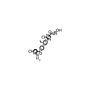 CC[C@H]1CN(c2ncc(C(=O)NCCO)nc2Cl)CCN1C1CCN(C(=O)c2ccc(Cl)nc2N)CC1